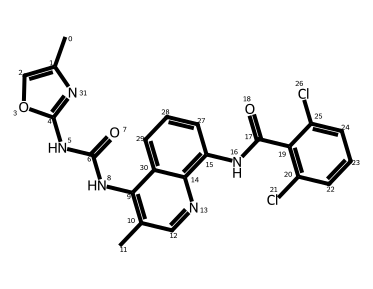 Cc1coc(NC(=O)Nc2c(C)cnc3c(NC(=O)c4c(Cl)cccc4Cl)cccc23)n1